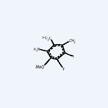 COc1c(N)c(C(=O)O)c(C)c(I)c1F